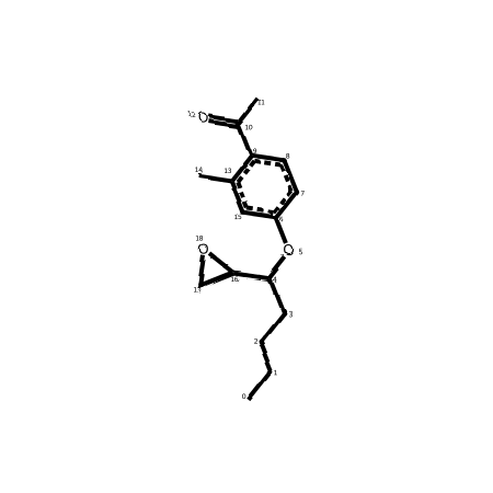 CCCCC(Oc1ccc(C(C)=O)c(C)c1)C1CO1